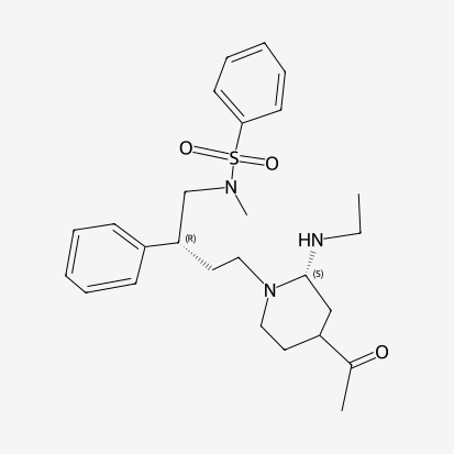 CCN[C@@H]1CC(C(C)=O)CCN1CC[C@@H](CN(C)S(=O)(=O)c1ccccc1)c1ccccc1